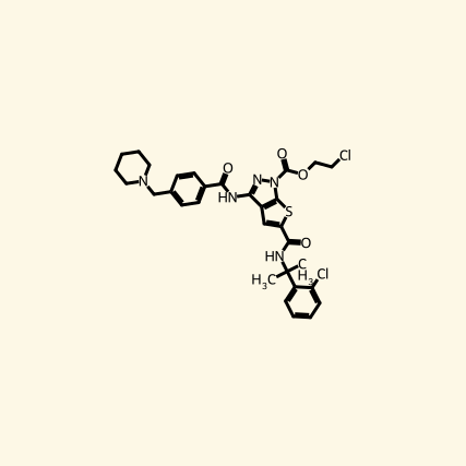 CC(C)(NC(=O)c1cc2c(NC(=O)c3ccc(CN4CCCCC4)cc3)nn(C(=O)OCCCl)c2s1)c1ccccc1Cl